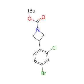 CC(C)(C)OC(=O)N1CC(c2ccc(Br)cc2Cl)C1